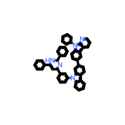 C1=C(c2ccccc2)NC(c2ccccc2)N=C1c1cccc(-n2c3ccccc3c3ccc(-c4ccc5c(c4)c4cccnc4n5-c4ccccc4)cc32)c1